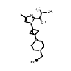 C#CCN1CCN(C23CC(n4cc(I)nc4C(O)C(C)C)(C2)C3)CC1